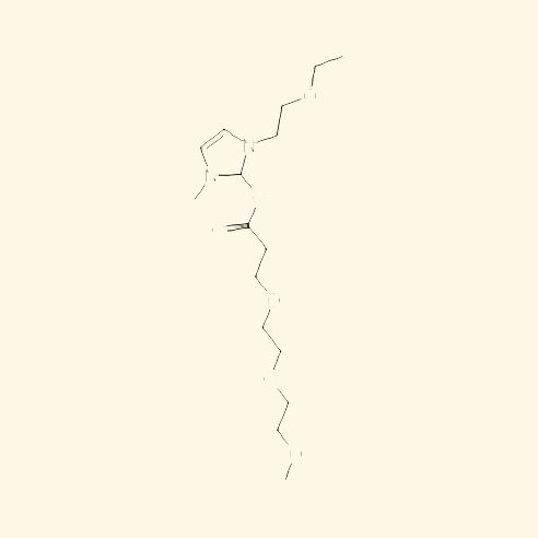 CCOCCN1C=CN(C)C1OC(=O)CCOCCOCCOC